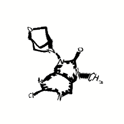 Cn1c(=O)n(N2CC3CC2CO3)c2nc(Cl)ncc21